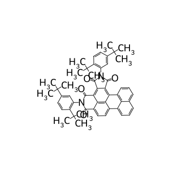 CC(C)(C)c1ccc(C(C)(C)C)c(N2C(=O)c3ccc4c5cccc6cccc(c65)c5c6c(=O)n(-c7cc(C(C)(C)C)ccc7C(C)(C)C)c(=O)c6c(c3c45)C2=O)c1